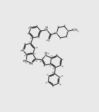 CN1CCN(C(=O)Nc2cncc(-c3cnc4[nH]nc(-c5cc6c(-c7ccccn7)cccc6[nH]5)c4c3)c2)CC1